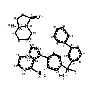 CC(O)(c1ccc(-c2nc([C@@H]3CC[C@H]4CCC(=O)N4C3)n3ccnc(N)c23)cc1)c1cccc(-c2ccccc2)c1